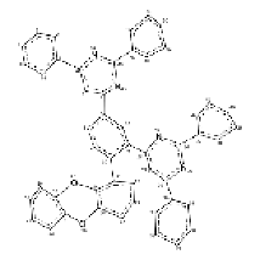 c1ccc(-c2cc(-c3ccc(-c4cccc5c4Oc4ccccc4O5)c(-c4nc(-c5ccccc5)nc(-c5ccccc5)n4)c3)nc(-c3ccccc3)n2)cc1